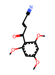 COc1cc(OC)c(C(=O)/C=C/C#N)c(OC)c1